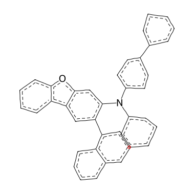 c1ccc(-c2ccc(N(c3ccccc3)c3cc4oc5ccccc5c4cc3-c3cccc4ccccc34)cc2)cc1